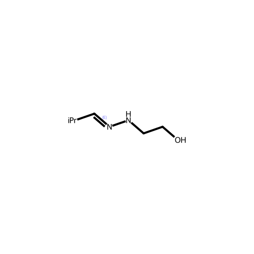 CC(C)/C=N/NCCO